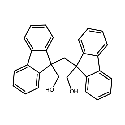 OCC1(CC2(CO)c3ccccc3-c3ccccc32)c2ccccc2-c2ccccc21